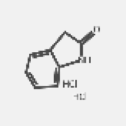 Cl.Cl.O=C1Cc2ccccc2N1